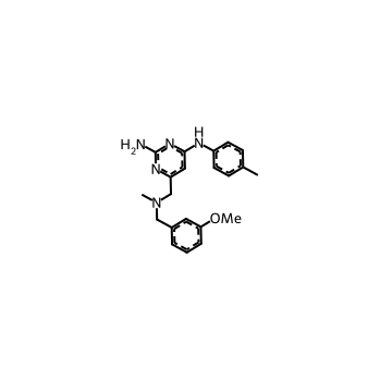 COc1cccc(CN(C)Cc2cc(Nc3ccc(C)cc3)nc(N)n2)c1